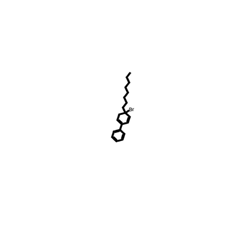 CCCCCCCCC1(Br)C=CC(c2ccccc2)=CC1